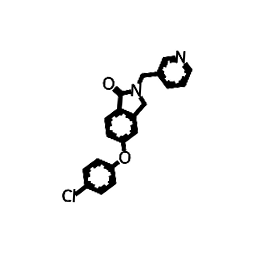 O=C1c2ccc(Oc3ccc(Cl)cc3)cc2CN1Cc1cccnc1